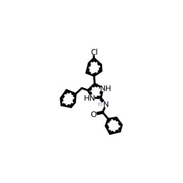 O=C(/N=c1\[nH]c(Cc2ccccc2)c(-c2ccc(Cl)cc2)[nH]1)c1ccccc1